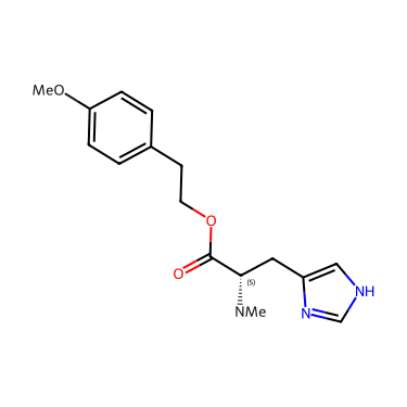 CN[C@@H](Cc1c[nH]cn1)C(=O)OCCc1ccc(OC)cc1